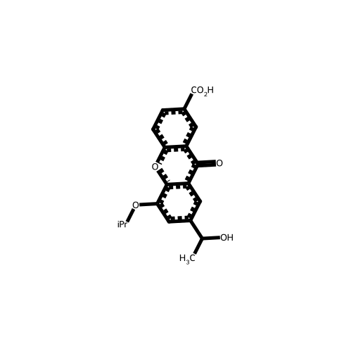 CC(C)Oc1cc(C(C)O)cc2c(=O)c3cc(C(=O)O)ccc3oc12